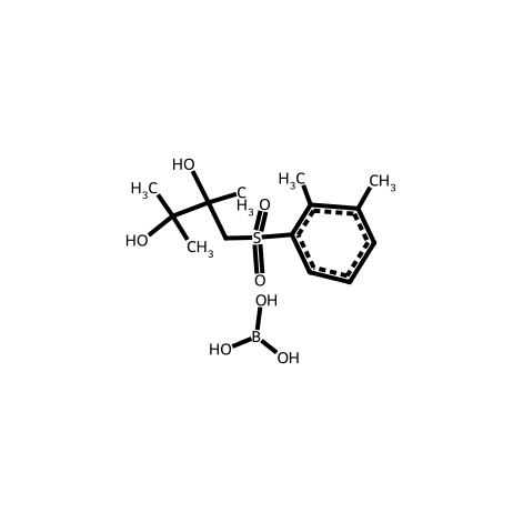 Cc1cccc(S(=O)(=O)CC(C)(O)C(C)(C)O)c1C.OB(O)O